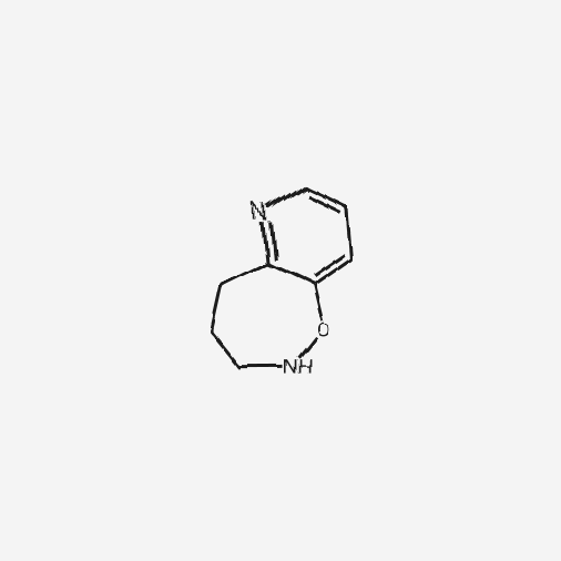 c1cnc2c(c1)ONCCC2